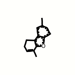 CC1=CCCc2c1oc1ccc(C)cc21